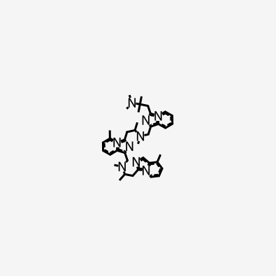 Cc1cccn2c(CC(C)N(C)Cc3nc(CC(C)N(C)Cc4nc(CC(C)(C)N(C)C)n5ccccc45)n4c(C)cccc34)ncc12